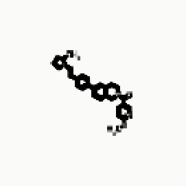 COc1ccc(C(=O)N2CCc3cc(-c4ccc(CCN5CCCC5C)cc4)ccc3C2)cn1